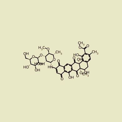 COC(=O)c1c(C)cc2c(c1O)[C@]1(O)C(=O)c3cc4c(c(O)c3C(=O)[C@]1(OC)[C@H](O)C2)C(=O)C=C(N[C@H]1O[C@@H](C)[C@H](OC)[C@@H](O[C@@H]2O[C@H](CO)[C@@H](O)[C@H](O)[C@H]2O)[C@H]1CO)C4=O